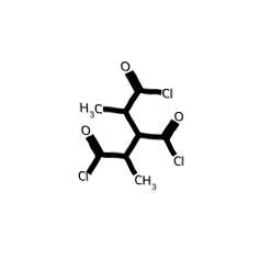 CC(C(=O)Cl)C(C(=O)Cl)C(C)C(=O)Cl